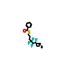 O=C(SCCCC(F)(F)C(F)C(F)C(F)(F)F)c1ccccc1